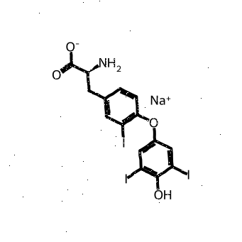 N[C@@H](Cc1ccc(Oc2cc(I)c(O)c(I)c2)c(I)c1)C(=O)[O-].[Na+]